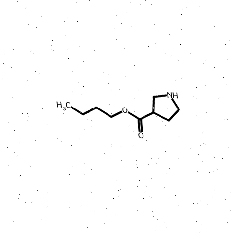 CCCCOC(=O)C1CCNC1